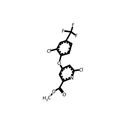 COC(=O)c1cc(Oc2ccc(C(F)(F)F)cc2Cl)cc(Cl)n1